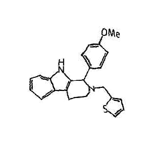 COc1ccc(C2c3[nH]c4ccccc4c3CCN2Cc2cccs2)cc1